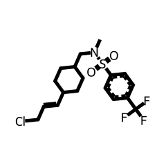 CN(CC1CCC(C=CCCl)CC1)S(=O)(=O)c1ccc(C(F)(F)F)cc1